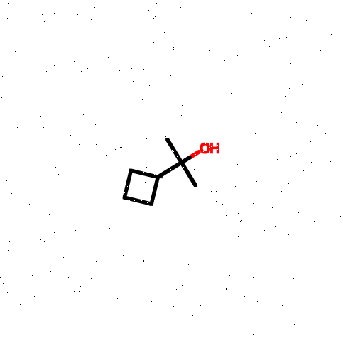 CC(C)(O)[C]1CCC1